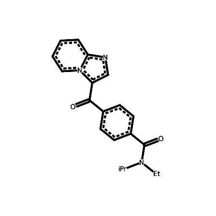 CCN(C(=O)c1ccc(C(=O)c2cnc3ccccn23)cc1)C(C)C